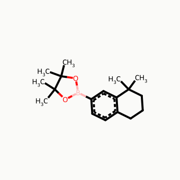 CC1(C)CCCc2ccc(B3OC(C)(C)C(C)(C)O3)cc21